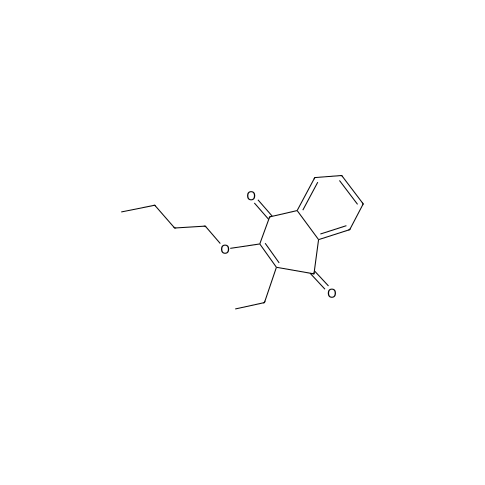 CCCCOC1=C(CC)C(=O)c2ccccc2C1=O